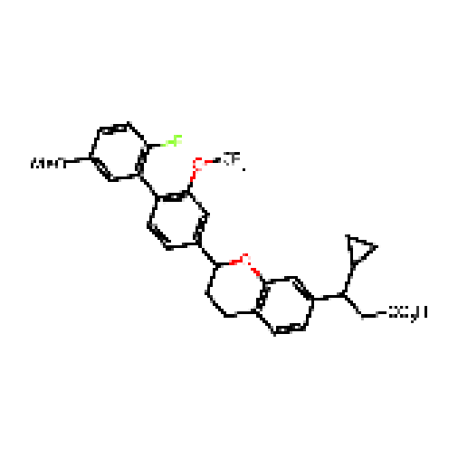 COc1ccc(F)c(-c2ccc(C3CCc4ccc(C(CC(=O)O)C5CC5)cc4O3)cc2OC(F)(F)F)c1